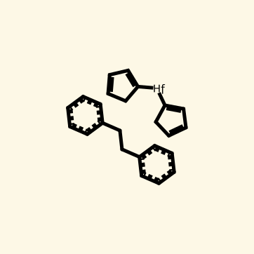 C1=CC[C]([Hf][C]2=CC=CC2)=C1.c1ccc(CCc2ccccc2)cc1